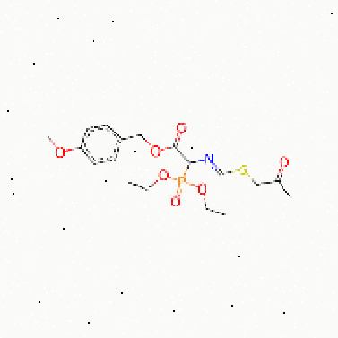 CCOP(=O)(OCC)C(N=CSCC(C)=O)C(=O)OCc1ccc(OC)cc1